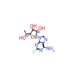 C[C@H](O)[C@H]1O[C@@H](n2cnc3c(N)nc(F)nc32)[C@H](O)[C@@H]1O